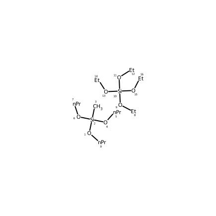 CCCO[Si](C)(OCCC)OCCC.CCO[Si](OCC)(OCC)OCC